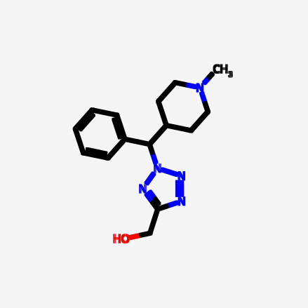 CN1CCC(C(c2ccccc2)n2nnc(CO)n2)CC1